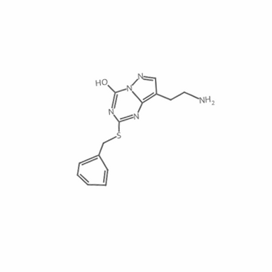 NCCc1cnn2c(O)nc(SCc3ccccc3)nc12